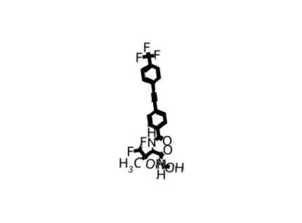 CC(O)(C(F)F)[C@H](NC(=O)c1ccc(C#Cc2ccc(C(F)(F)F)cc2)cc1)C(=O)NO